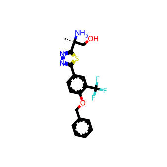 C[C@](N)(CO)c1nnc(-c2ccc(OCc3ccccc3)c(C(F)(F)F)c2)s1